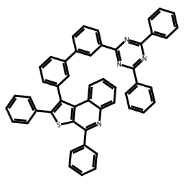 c1ccc(-c2nc(-c3ccccc3)nc(-c3cccc(-c4cccc(-c5c(-c6ccccc6)sc6c(-c7ccccc7)nc7ccccc7c56)c4)c3)n2)cc1